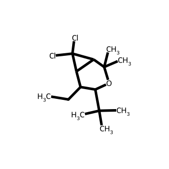 CCC1C(C(C)(C)C)OC(C)(C)C2C1C2(Cl)Cl